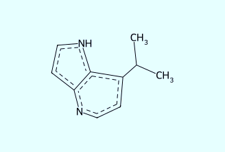 CC(C)c1ccnc2cc[nH]c12